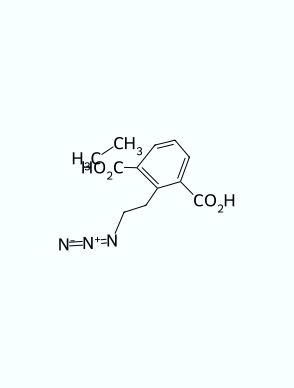 CC.[N-]=[N+]=NCCc1c(C(=O)O)cccc1C(=O)O